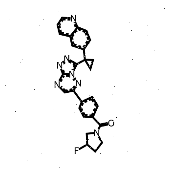 O=C(c1ccc(-c2cnc3nnc(C4(c5ccc6ncccc6c5)CC4)n3n2)cc1)N1CCC(F)C1